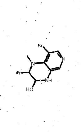 CC(C)[C@@H]1C(O)Nc2cncc(Br)c2N1C